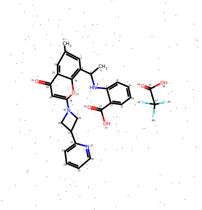 Cc1cc(C(C)Nc2ccccc2C(=O)O)c2oc(N3CC(c4ccccn4)C3)cc(=O)c2c1.O=C(O)C(F)(F)F